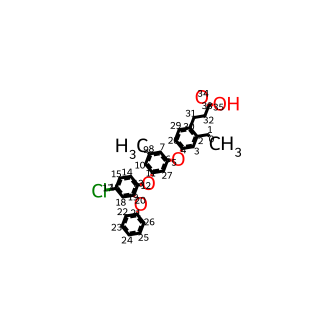 CCc1cc(Oc2cc(C)cc(Oc3ccc(Cl)cc3Oc3ccccc3)c2)ccc1CCC(=O)O